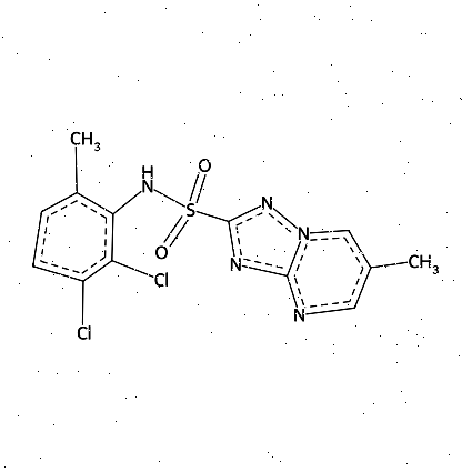 Cc1cnc2nc(S(=O)(=O)Nc3c(C)ccc(Cl)c3Cl)nn2c1